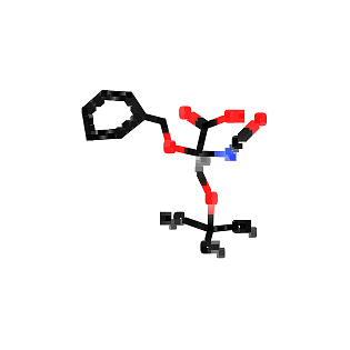 CC(C)(C)OC[C@](N=C=O)(OCc1ccccc1)C(=O)O